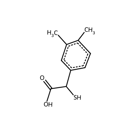 Cc1ccc(C(S)C(=O)O)cc1C